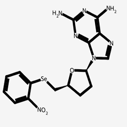 Nc1nc(N)c2ncn([C@H]3CC[C@@H](C[Se]c4ccccc4[N+](=O)[O-])O3)c2n1